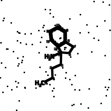 CCCCC1(N)CCc2ccccc21